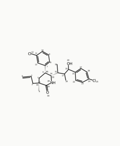 C=CC[C@@]1(C)C[C@H](c2cccc(Cl)c2)[C@H](C(C)C(C)C(O)c2ccc(Cl)cc2)NC1=O